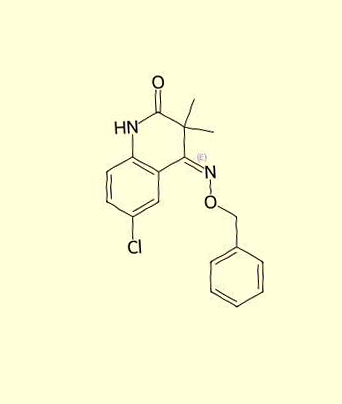 CC1(C)C(=O)Nc2ccc(Cl)cc2/C1=N\OCc1ccccc1